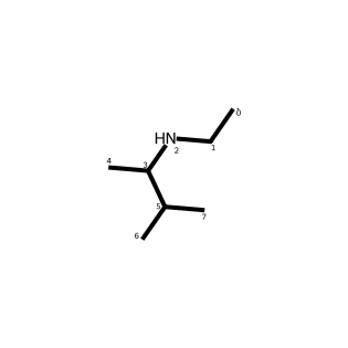 [CH2]CNC(C)C(C)C